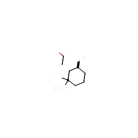 C=C1CCCC(C)(C)[C@@H]1CCO